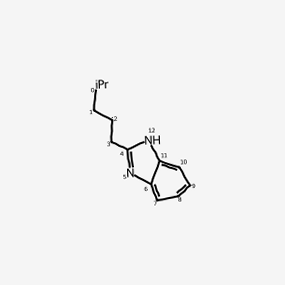 CC(C)C[CH]Cc1nc2ccccc2[nH]1